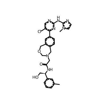 Cc1cccc([C@@H](CO)NC(=O)CN2COCc3cc(-c4nc(Nc5nccn5C)ncc4Cl)ccc3C2)c1